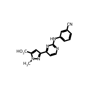 Cn1nc(-c2ccnc(Nc3cccc(C#N)c3)n2)cc1C(=O)O